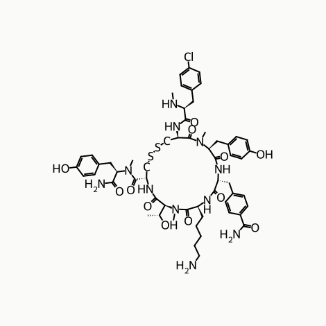 CN[C@@H](Cc1ccc(Cl)cc1)C(=O)N[C@@H]1CSSC[C@@H](C(=O)N(C)[C@H](Cc2ccc(O)cc2)C(N)=O)NC(=O)[C@H]([C@@H](C)O)N(C)C(=O)[C@H](CCCCCN)NC(=O)[C@@H](Cc2ccc(C(N)=O)cc2)NC(=O)[C@H](Cc2ccc(O)cc2)N(C)C1=O